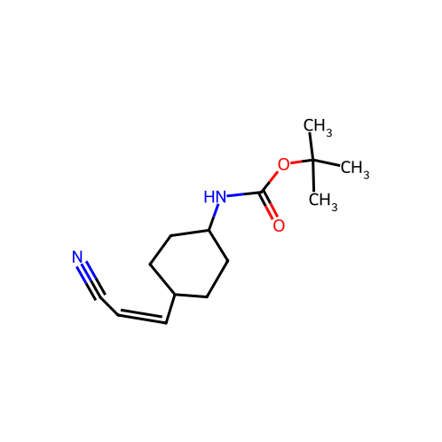 CC(C)(C)OC(=O)NC1CCC(/C=C\C#N)CC1